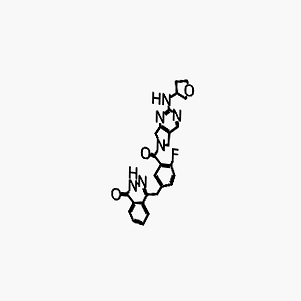 O=C(c1cc(Cc2n[nH]c(=O)c3ccccc23)ccc1F)N1Cc2cnc(NC3CCOC3)nc2C1